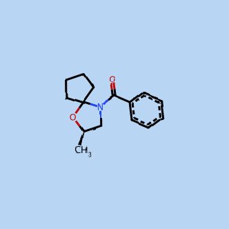 C[C@@H]1CN(C(=O)c2ccccc2)C2(CCCC2)O1